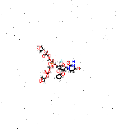 C[C@@]12OC3(CCCC3)O[C@@H]1[C@@](CF)(COP(=O)(OCOC(=O)OC1COC1)OCOC(=O)OC1COC1)O[C@H]2n1ccc(=O)[nH]c1=O